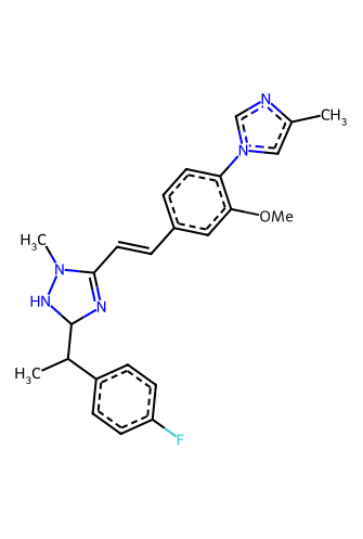 COc1cc(/C=C/C2=NC(C(C)c3ccc(F)cc3)NN2C)ccc1-n1cnc(C)c1